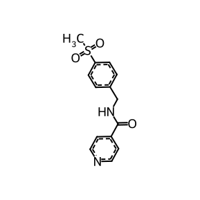 CS(=O)(=O)c1ccc(CNC(=O)c2ccncc2)cc1